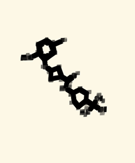 COc1ccc(F)cc1OC1CC(C(=O)NC2CCC(C(C)(C)O)CC2)C1